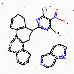 Cc1nc(C2Cc3c(ccc4ccccc34)C3=C2CCC=C3)nc(C)c1[N+](=O)[O-].c1cnc2ccncc2c1